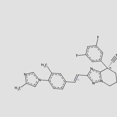 Cc1cn(-c2ccc(/C=C/c3nc4n(n3)CCC[C@]4(C#N)c3cc(F)cc(F)c3)cc2C)cn1